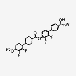 CCCC(O)C1=CCC(c2ccc(OC(=O)C3CCC(C4CCC(OCC)C(F)=C4F)CC3)c(F)c2F)C=C1